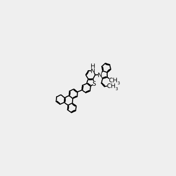 C/C=C\c1c(C)c2ccccc2n1C1NC=Cc2c1sc1ccc(-c3ccc4c5c(c6ccccc6c4c3)C=CCC5)cc21